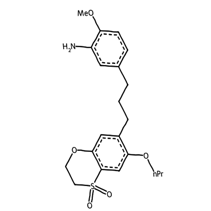 CCCOc1cc2c(cc1CCCc1ccc(OC)c(N)c1)OCCS2(=O)=O